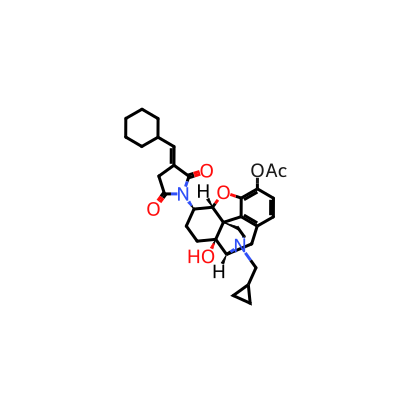 CC(=O)Oc1ccc2c3c1O[C@H]1[C@H](N4C(=O)C/C(=C\C5CCCCC5)C4=O)CC[C@@]4(O)[C@@H](C2)N(CC2CC2)CC[C@]314